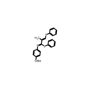 COc1ccc(N=C(Sc2ccccc2)/C(C)=C/Sc2ccccc2)cc1